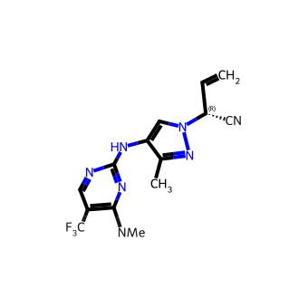 C=C[C@H](C#N)n1cc(Nc2ncc(C(F)(F)F)c(NC)n2)c(C)n1